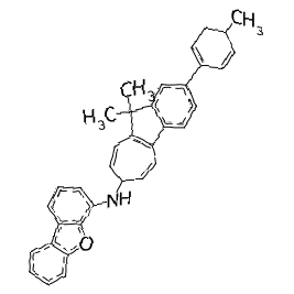 CC1C=CC(c2ccc3c(c2)C(C)(C)C2=C3C=CC(Nc3cccc4c3oc3ccccc34)C=C2)=CC1